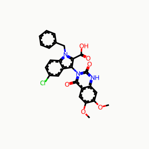 COc1cc2[nH]c(=O)n(-c3c(C(=O)O)n(Cc4ccccc4)c4ccc(Cl)cc34)c(=O)c2cc1OC